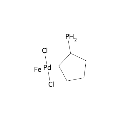 PC1CCCC1.[Cl][Pd][Cl].[Fe]